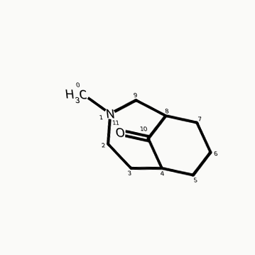 CN1CCC2CCCC(C1)C2=O